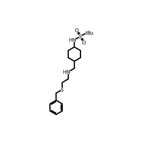 CC(C)(C)S(=O)(=O)NC1CCC(CNCCSCc2ccccc2)CC1